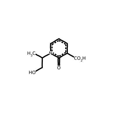 CC(CO)n1cccc(C(=O)O)c1=O